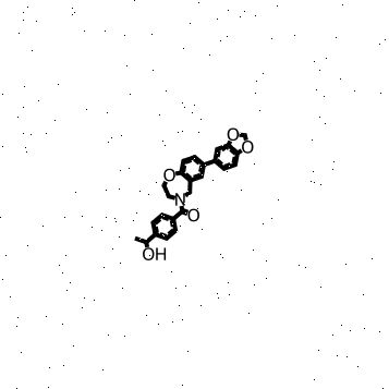 CC(O)c1ccc(C(=O)N2CCOc3ccc(-c4ccc5c(c4)OCO5)cc3C2)cc1